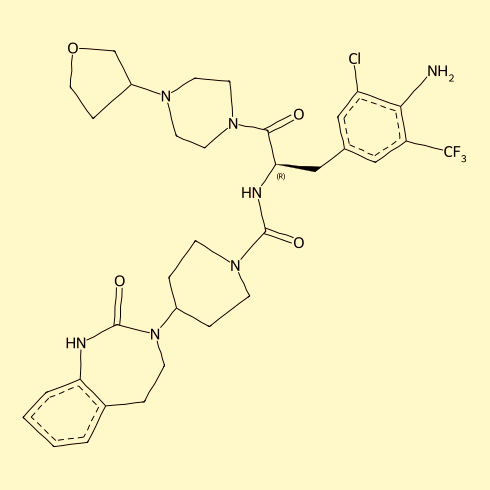 Nc1c(Cl)cc(C[C@@H](NC(=O)N2CCC(N3CCc4ccccc4NC3=O)CC2)C(=O)N2CCN(C3CCOC3)CC2)cc1C(F)(F)F